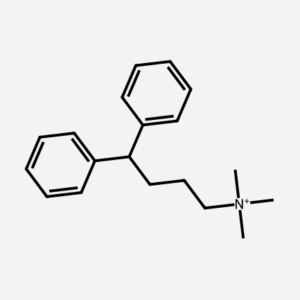 C[N+](C)(C)CCCC(c1ccccc1)c1ccccc1